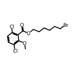 COc1c(Cl)ccc(Cl)c1C(=O)OCCCCCCBr